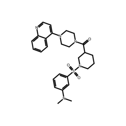 CN(C)c1cccc(S(=O)(=O)N2CCCC(C(=O)N3CCN(c4ccnc5ccccc45)CC3)C2)c1